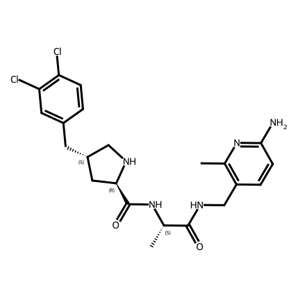 Cc1nc(N)ccc1CNC(=O)[C@H](C)NC(=O)[C@H]1C[C@H](Cc2ccc(Cl)c(Cl)c2)CN1